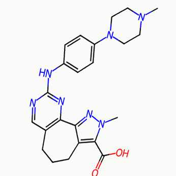 CN1CCN(c2ccc(Nc3ncc4c(n3)-c3nn(C)c(C(=O)O)c3CCC4)cc2)CC1